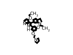 C=CC(=O)N1CCc2ccc(-c3c(-c4cccc(OCCN5CCCC5)c4)[nH]c4nccc(OCC)c34)cc21